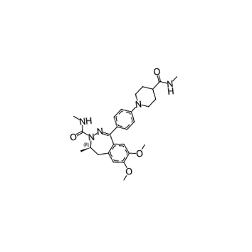 CNC(=O)C1CCN(c2ccc(C3=NN(C(=O)NC)[C@H](C)Cc4cc(OC)c(OC)cc43)cc2)CC1